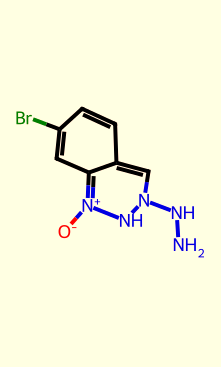 NNN1C=c2ccc(Br)cc2=[N+]([O-])N1